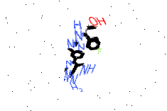 N=Cc1c(N)ncnc1-c1ccc2nc(N[C@H](CCO)c3ccc(F)cc3)ncc2c1